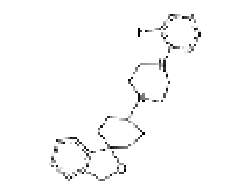 Fc1ccccc1N1CCN(C2CCC3(CC2)OCc2ccccc23)CC1